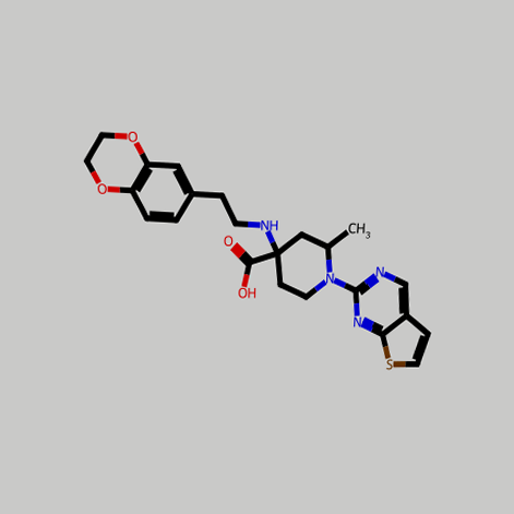 CC1CC(NCCc2ccc3c(c2)OCCO3)(C(=O)O)CCN1c1ncc2ccsc2n1